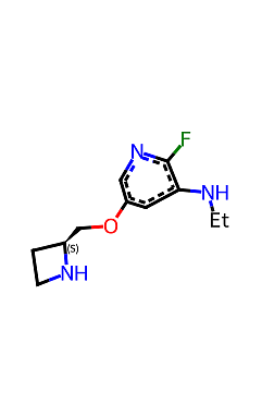 CCNc1cc(OC[C@@H]2CCN2)cnc1F